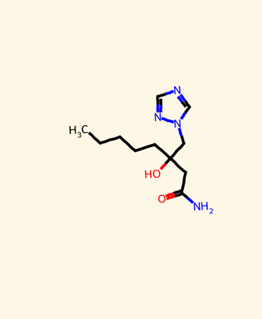 CCCCCC(O)(CC(N)=O)Cn1cncn1